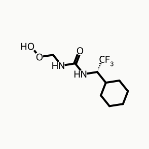 O=C(NCOO)N[C@@H](C1CCCCC1)C(F)(F)F